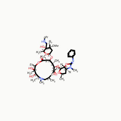 CCCNC[C@]1(O)[C@H](C)O[C@@H](O[C@H]2[C@H](C)[C@@H](O[C@@H]3O[C@H](C)C[C@H]4[C@H]3O/C(=N\c3ccccc3)N4C)[C@](C)(O)C[C@@H](C)CN(C)[C@H](C)[C@@H](O)[C@](C)(O)[C@@H](CC)OC(=O)[C@@H]2C)C[C@@]1(C)OC